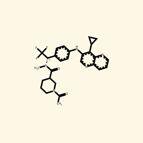 CC(=O)N1CCCC(C(=O)N(C)[C@@H](c2ccc(Nc3cnc4cccnc4c3C3CC3)cc2)C(F)(F)F)C1